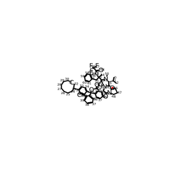 CC(C)[C@@H](C(=O)N[C@@H](CC(=O)OC(c1ccccc1)(c1ccc(C2CCCCCCCCC2)cc1)c1ccccc1Cl)C(=O)N1CCCC1)N(C)C(=O)C(C)(Cc1ccccc1)NC(=O)C(F)(F)F